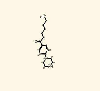 CCCCCCC(=O)c1cnc(N2CCNCC2)nc1